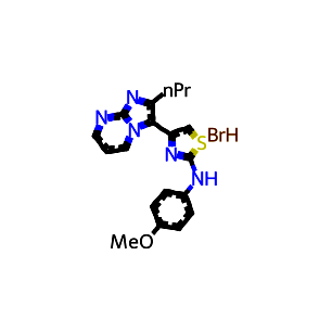 Br.CCCc1nc2ncccn2c1-c1csc(Nc2ccc(OC)cc2)n1